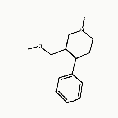 COCC1CN(C)CCC1c1ccccc1